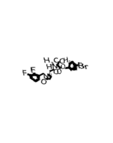 CC(C)[C@H](NC(=O)C[C@@H]1CCC(=O)N1Cc1cccc(F)c1F)C(=O)OCc1ccc(Br)cc1